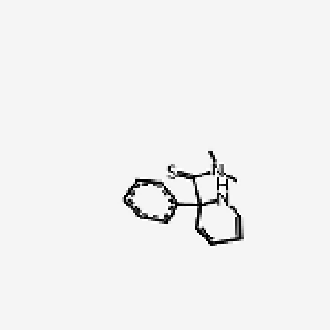 CN(C)C(=S)C1(c2ccccc2)C=CC=CN1